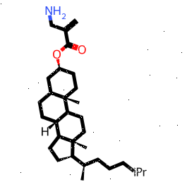 C=C(CN)C(=O)O[C@H]1CC[C@@]2(C)C(CC[C@@H]3C2CC[C@@]2(C)C3CC[C@@H]2[C@H](C)CCCC(C)C)C1